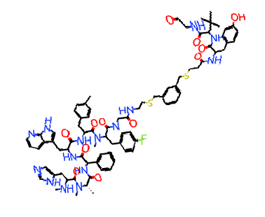 CNC(Cc1cnc[nH]1)C(=O)N(C)[C@@H](C)C(=O)NC(C(=O)NC(Cc1c[nH]c2ncccc12)C(=O)NC(Cc1ccc(C)cc1)C(=O)N(C)C(Cc1ccc(F)cc1)C(=O)N(C)CC(=O)NCCSCc1cccc(CSCCC(=O)NC(Cc2ccc(O)cc2)C(=O)NC(C(=O)NCC=O)C(C)(C)C)c1)c1ccccc1